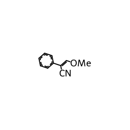 COC=C(C#N)c1ccccc1